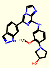 COc1cc(Nc2nc(-c3ccc4cn[nH]c4c3)cn3ccnc23)ccc1N1CC[C@@H](O)C1